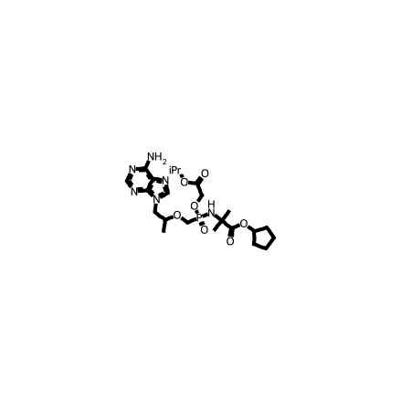 CC(C)OC(=O)COP(=O)(COC(C)Cn1cnc2c(N)ncnc21)NC(C)(C)C(=O)OC1CCCC1